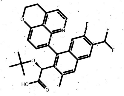 Cc1cc2cc(C(F)F)c(F)cc2c(-c2ccc3c4c(ccnc24)CCO3)c1[C@H](OC(C)(C)C)C(=O)O